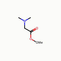 COOC(=O)CN(C)C